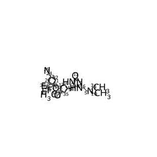 CCN(CC)CCNC1=NC(=O)N/C1=C\c1ccc(Oc2ccc(C#N)cc2C(F)(F)F)c(OC)c1